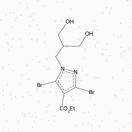 CCOC(=O)c1c(Br)nn(CC(CO)CO)c1Br